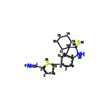 N#Cc1ccc(-c2ccc3c(c2)C2(CCCCC2)C(=S)N3)s1